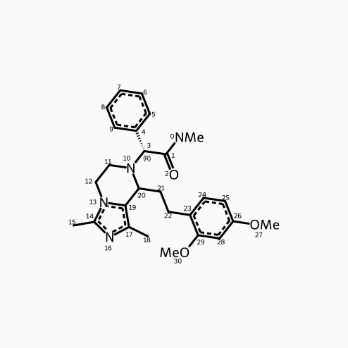 CNC(=O)[C@@H](c1ccccc1)N1CCn2c(C)nc(C)c2C1CCc1ccc(OC)cc1OC